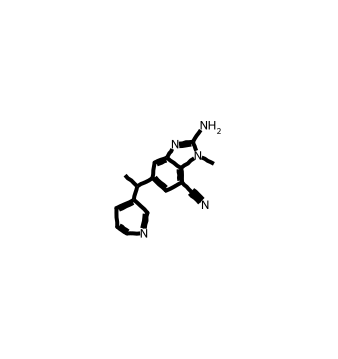 CC(c1cccnc1)c1cc(C#N)c2c(c1)nc(N)n2C